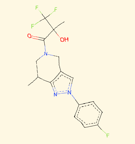 CC1CN(C(=O)C(C)(O)C(F)(F)F)Cc2cn(-c3ccc(F)cc3)nc21